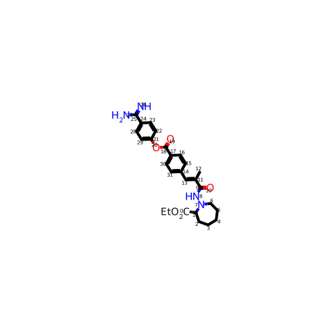 CCOC(=O)C1CCCCCN1NC(=O)C(C)=Cc1ccc(C(=O)Oc2ccc(C(=N)N)cc2)cc1